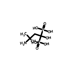 CC(C)(N)CC(O)(P(=O)(O)O)P(=O)(O)O